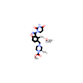 Cc1c(CN2CCN(C(=O)OC(C)(C)C)[C@@H](C)C2)ccc2onc(N3CCC(=O)NC3=O)c12.O=C([O-])[O-].[Cs+].[Cs+]